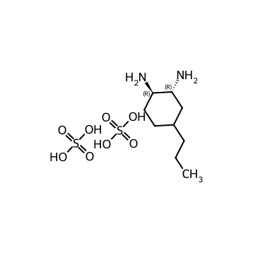 CCCC1CC[C@@H](N)[C@H](N)C1.O=S(=O)(O)O.O=S(=O)(O)O